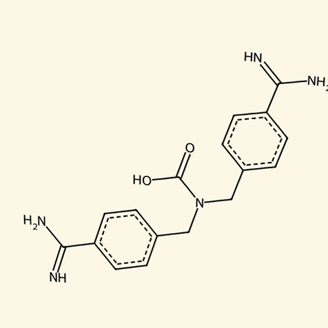 N=C(N)c1ccc(CN(Cc2ccc(C(=N)N)cc2)C(=O)O)cc1